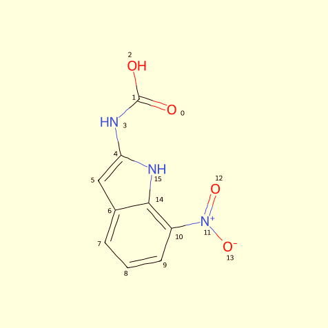 O=C(O)Nc1cc2cccc([N+](=O)[O-])c2[nH]1